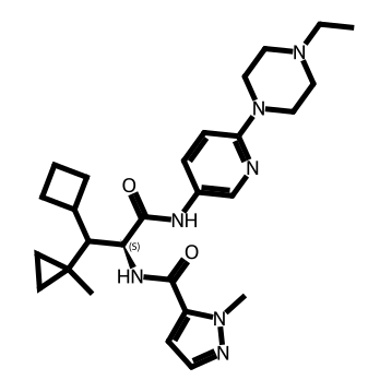 CCN1CCN(c2ccc(NC(=O)[C@@H](NC(=O)c3ccnn3C)C(C3CCC3)C3(C)CC3)cn2)CC1